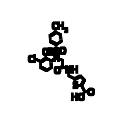 Cc1ccc(S(=O)(=O)N(CC(=O)NCc2ccc(C(=O)O)s2)c2cccc(Cl)c2C)cc1